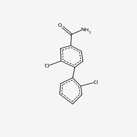 NC(=O)c1ccc(-c2ccccc2Cl)c(Cl)c1